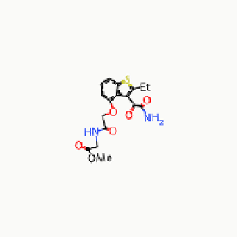 CCc1sc2cccc(OCC(=O)NCC(=O)OC)c2c1C(=O)C(N)=O